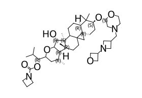 CC(C)[C@@H](OC(=O)N1CCC1)C1C[C@@H](C)[C@H]2C(O1)[C@H](O)[C@@]1(C)C3CC[C@H]4C(C)(C)[C@@H](O[C@H]5CN(CC6CN(C7COC7)C6)CCO5)CC[C@@]45CC35CC[C@]21C